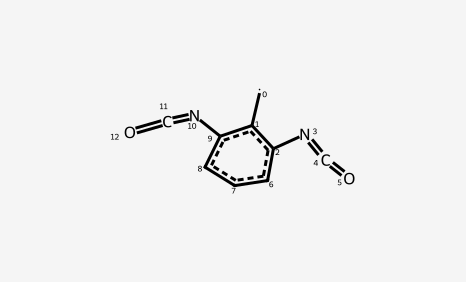 [CH2]c1c(N=C=O)cccc1N=C=O